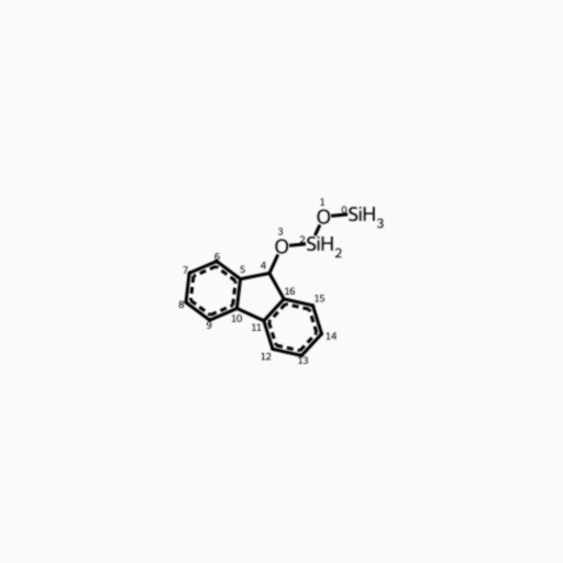 [SiH3]O[SiH2]OC1c2ccccc2-c2ccccc21